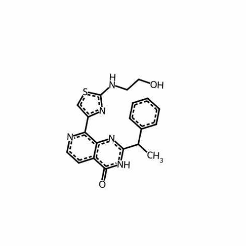 CC(c1ccccc1)c1nc2c(-c3csc(NCCO)n3)nccc2c(=O)[nH]1